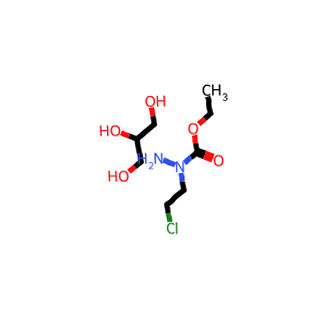 CCOC(=O)N(N)CCCl.OCC(O)CO